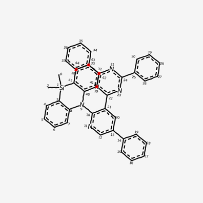 C[Si]1(C)c2ccccc2N(c2ncc(-c3ccccc3)cc2-c2nc(-c3ccccc3)nc(-c3ccccc3)n2)c2ccccc21